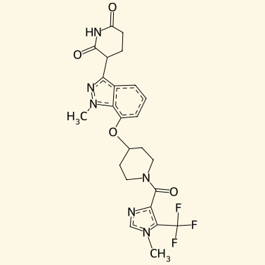 Cn1cnc(C(=O)N2CCC(Oc3cccc4c(C5CCC(=O)NC5=O)nn(C)c34)CC2)c1C(F)(F)F